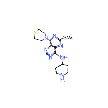 CSc1nc(N2CCSCC2)c2ncnc(NC3CCNCC3)c2n1